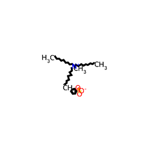 CCCCCCCCCC[N+](C)(CCCCCCCCCC)CCCCCCCCCC.O=S(=O)([O-])c1ccccc1